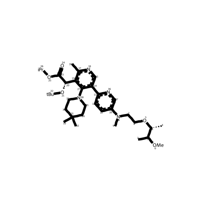 COC(C)[C@@H](C)OCCN(C)c1ccc(-c2cnc(C)c([C@H](OC(C)(C)C)C(=O)OC(C)C)c2N2CCC(C)(C)CC2)nc1